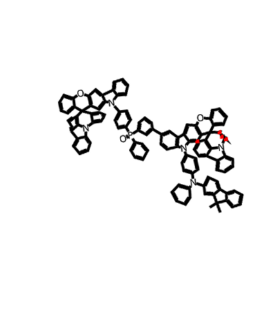 CC1(C)c2ccccc2-c2ccc(N(c3ccccc3)c3ccc(-n4c5ccc(-c6cccc(P(=O)(c7ccccc7)c7ccc(-n8c9ccccc9c9cc%10c(cc98)C8(c9ccccc9O%10)c9ccccc9-n9c%10ccccc%10c%10cccc8c%109)cc7)c6)cc5c5cc6c(cc54)C4(c5ccccc5O6)c5ccccc5-n5c6ccccc6c6cccc4c65)cc3)cc21